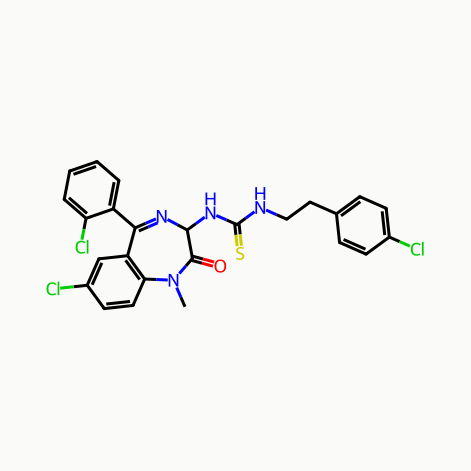 CN1C(=O)C(NC(=S)NCCc2ccc(Cl)cc2)N=C(c2ccccc2Cl)c2cc(Cl)ccc21